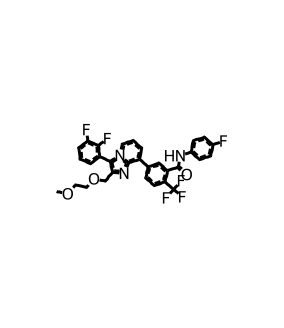 COCCOCc1nc2c(-c3ccc(C(F)(F)F)c(C(=O)Nc4ccc(F)cc4)c3)cccn2c1-c1cccc(F)c1F